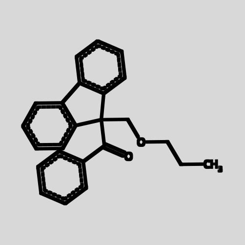 CCCOCC1(C(=O)c2ccccc2)c2ccccc2-c2ccccc21